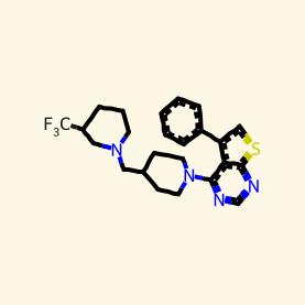 FC(F)(F)C1CCCN(CC2CCN(c3ncnc4scc(-c5ccccc5)c34)CC2)C1